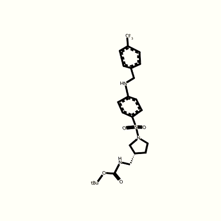 CC(C)(C)OC(=O)NC[C@H]1CCN(S(=O)(=O)c2ccc(NCc3ccc(C(F)(F)F)cc3)cc2)C1